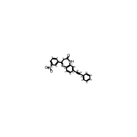 O=C1CC(c2cccc([N+](=O)[O-])c2)=Nc2ccc(C#Cc3ccccc3)cc2N1